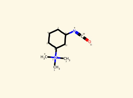 C[N+](C)(C)C1CCCC(N=C=O)C1